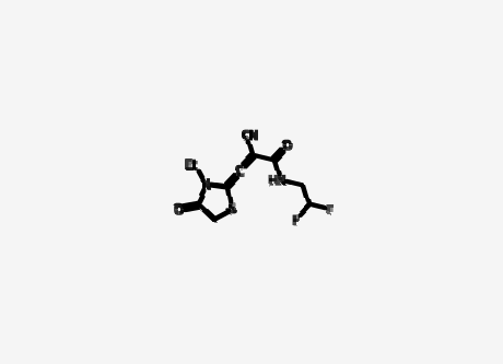 CCN1C(=O)CSC1=C=C(C#N)C(=O)NCC(F)F